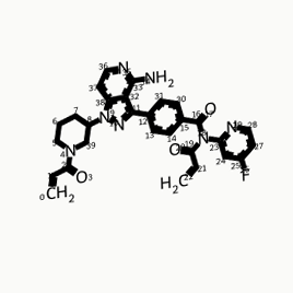 C=CC(=O)N1CCCC(n2nc(-c3ccc(C(=O)N(C(=O)C=C)c4cc(F)ccn4)cc3)c3c(N)nccc32)C1